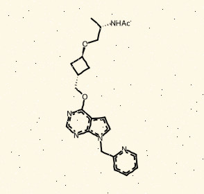 CC(=O)N[C@@H](C)CO[C@H]1C[C@H](COc2ncnc3c2ccn3Cc2ccccn2)C1